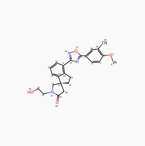 CC(C)Oc1ccc(-c2nc(-c3cccc4c3CC[C@]43CC(=O)N(CCO)C3)no2)cc1C#N